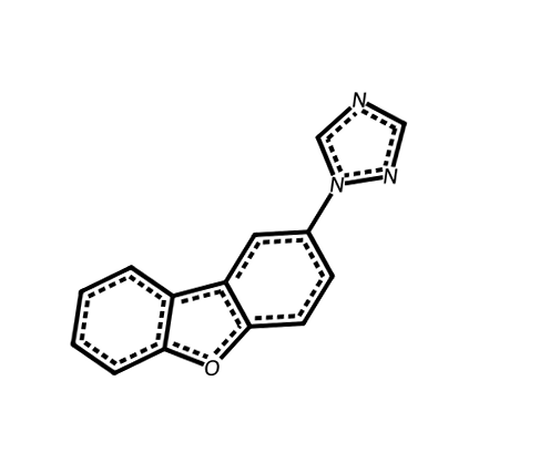 c1ccc2c(c1)oc1ccc(-n3cncn3)cc12